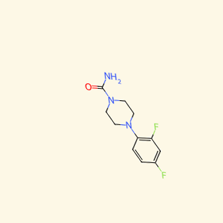 NC(=O)N1CCN(c2ccc(F)cc2F)CC1